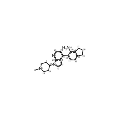 CN1CCC(n2ccc3c(-c4ccc5c(c4N)CCC5)ccnc32)CC1